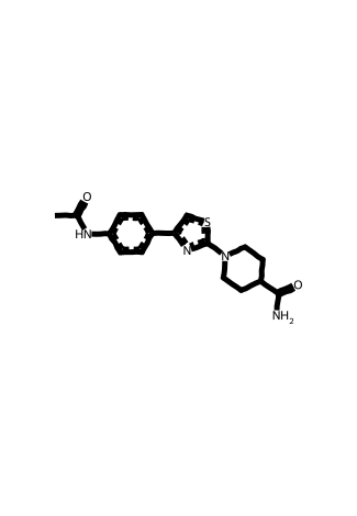 CC(=O)Nc1ccc(-c2csc(N3CCC(C(N)=O)CC3)n2)cc1